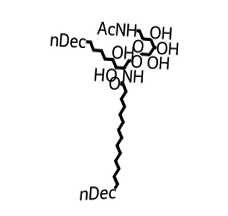 CCCCCCCCCCCCCCCCCCCCCCCC(=O)NC(COC1OC(CNC(C)=O)C(O)C(O)C1O)[C@H](O)[C@H](O)CCCCCCCCCCCCCC